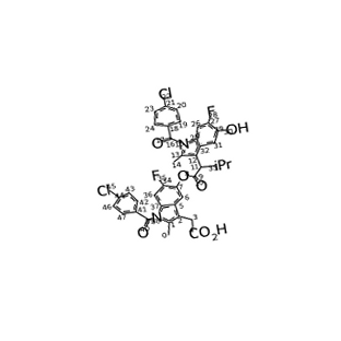 Cc1c(CC(=O)O)c2cc(OC(=O)C(c3c(C)n(C(=O)c4ccc(Cl)cc4)c4cc(F)c(O)cc34)C(C)C)c(F)cc2n1C(=O)c1ccc(Cl)cc1